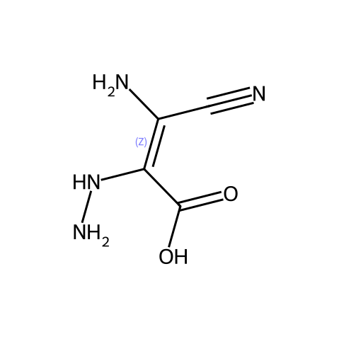 N#C/C(N)=C(/NN)C(=O)O